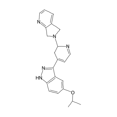 CC(C)Oc1ccc2[nH]nc(C3=CC=NC(N4Cc5cccnc5C4)C3)c2c1